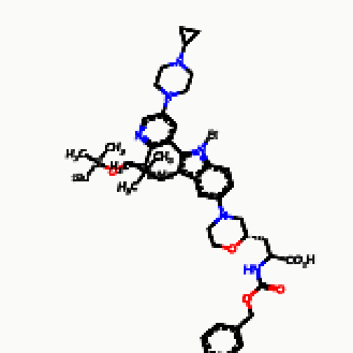 CCn1c(-c2cc(N3CCN(C4CC4)CC3)cnc2C(C)OC)c(CC(C)(C)CO[Si](C)(C)C(C)(C)C)c2cc(N3CCO[C@@H](CC(NC(=O)OCc4ccccc4)C(=O)O)C3)ccc21